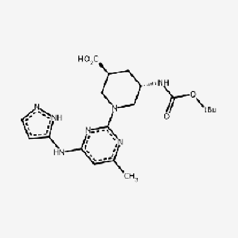 Cc1cc(Nc2ccn[nH]2)nc(N2C[C@@H](NC(=O)OC(C)(C)C)C[C@H](C(=O)O)C2)n1